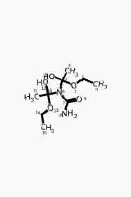 CCOC(C)(O)N(C(N)=O)C(C)(O)OCC